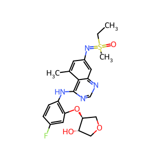 CCS(C)(=O)=Nc1cc(C)c2c(Nc3ccc(F)cc3O[C@H]3COC[C@@H]3O)ncnc2c1